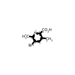 Cc1cc(Br)c(C)nc1C(=O)O